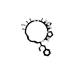 CC[C@H](Cc1ccccc1)[C@@H]1/C=C/C/C=C/C[C@@H](C)[C@H](O)[C@@H](C)[C@@H](C)CC[C@@H](C)C(=O)C(O)(OC)C(=O)N2CCC[C@H]2C(=O)O1